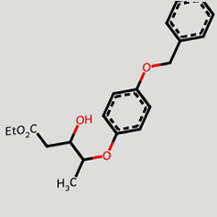 CCOC(=O)CC(O)C(C)Oc1ccc(OCc2ccccc2)cc1